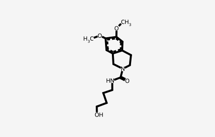 COc1cc2c(cc1OC)CN(C(=O)NCCCCO)CC2